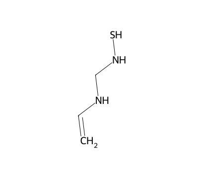 C=CNCNS